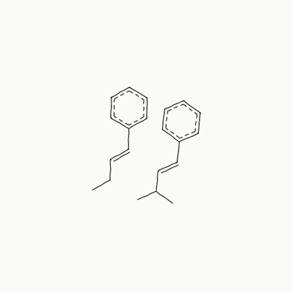 CC(C)C=Cc1ccccc1.CCC=Cc1ccccc1